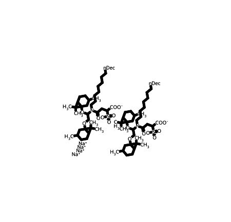 CCCCCCCCCCCCCCCCCCN(C(=O)CC(C(=O)[O-])S(=O)(=O)[O-])C(COC12CC(C)CCC1C2(C)C)OC12CC(C)CCC1C2(C)C.CCCCCCCCCCCCCCCCCCN(C(=O)CC(C(=O)[O-])S(=O)(=O)[O-])C(COC12CC(C)CCC1C2(C)C)OC12CC(C)CCC1C2(C)C.[Na+].[Na+].[Na+].[Na+]